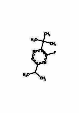 CC(C)c1cnc(C(C)(C)C)c(F)n1